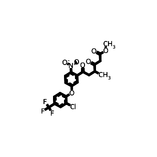 COC(=O)CC(=O)C(C)CC(=O)c1cc(Oc2ccc(C(F)(F)F)cc2Cl)ccc1[N+](=O)[O-]